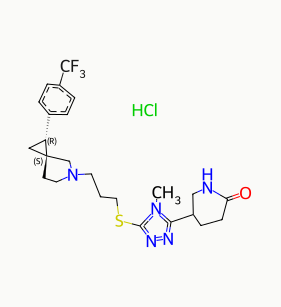 Cl.Cn1c(SCCCN2CC[C@]3(C[C@@H]3c3ccc(C(F)(F)F)cc3)C2)nnc1C1CCC(=O)NC1